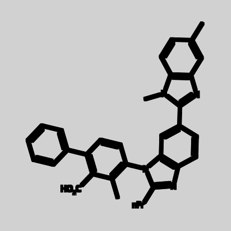 CCCc1nc2ccc(-c3nc4cc(C)ccc4n3C)cc2n1-c1ccc(-c2ccccc2)c(C(=O)O)c1C